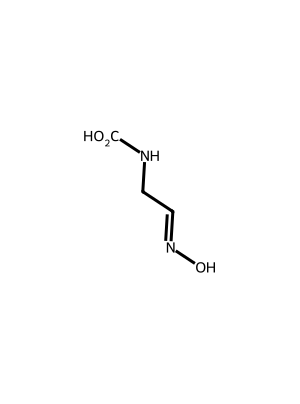 O=C(O)NC/C=N/O